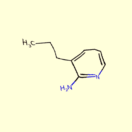 CCCc1cccnc1N